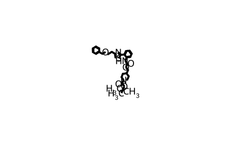 CC(C)(C)OC(=O)N1CCC(COC(=O)Nc2ccccc2-c2nc(CCOCc3ccccc3)cs2)CC1